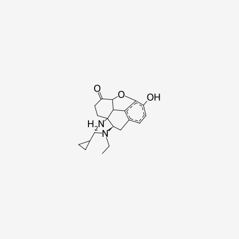 CCN(CC1CC1)[C@@H]1Cc2ccc(O)c3c2C2C(O3)C(=O)CCC21N